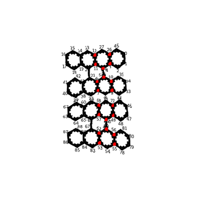 c1ccc(P(c2ccccc2)c2ccc3ccccc3c2-c2c(P(c3ccccc3)c3ccccc3)ccc3ccccc23)cc1.c1ccc(P(c2ccccc2)c2ccc3ccccc3c2-c2c(P(c3ccccc3)c3ccccc3)ccc3ccccc23)cc1